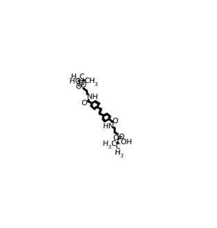 CC(C)P(=O)(O)OCCCNC(=O)c1ccc(/C=C/c2ccc(C(=O)NCCCOP(=O)(O)C(C)C)cc2)cc1